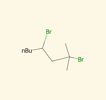 CCCCC(Br)CC(C)(C)Br